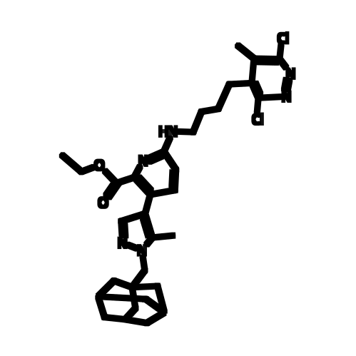 CCOC(=O)c1nc(NCCCCc2c(Cl)nnc(Cl)c2C)ccc1-c1cnn(CC23CC4CC(CC(C4)C2)C3)c1C